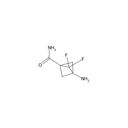 NC(=O)C12CC(N)(C1)C2(F)F